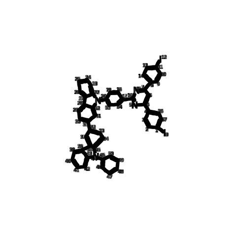 Ic1ccc(-c2cc(-c3ccc(I)cc3)nc(-c3ccc(-n4c5ccccc5c5ccc(-c6ccc7c(c6)c6ccccc6n7-c6ccccc6)cc54)cc3)n2)cc1